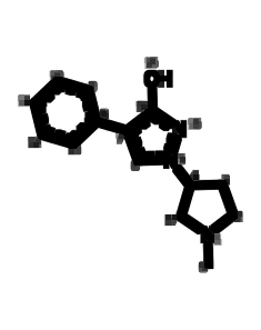 CN1CCC(n2cc(-c3ccccc3)c(O)n2)C1